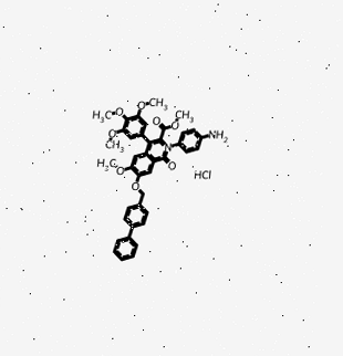 COC(=O)c1c(-c2cc(OC)c(OC)c(OC)c2)c2cc(OC)c(OCc3ccc(-c4ccccc4)cc3)cc2c(=O)n1-c1ccc(N)cc1.Cl